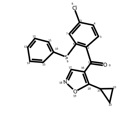 O=C(c1ccc(Cl)cc1Sc1ccccc1)c1cnoc1C1CC1